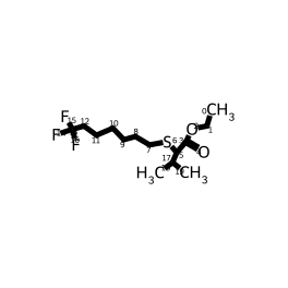 CCOC(=O)C(SCCCCCCC(F)(F)F)C(C)C